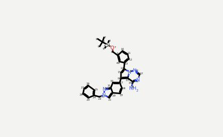 CC(C)(C)[Si](C)(C)OCc1cccc(-c2cc(-c3ccc4cn(Cc5ccccc5)nc4c3)c3c(N)ncnn23)c1